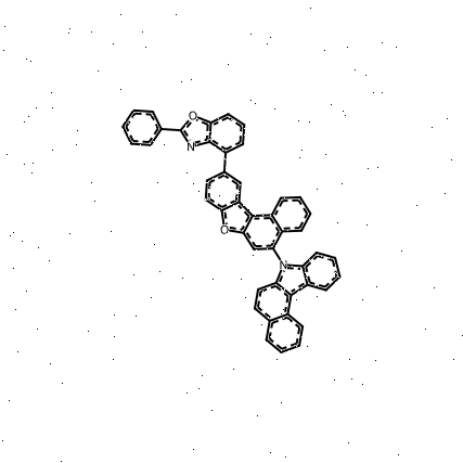 c1ccc(-c2nc3c(-c4ccc5oc6cc(-n7c8ccccc8c8c9ccccc9ccc87)c7ccccc7c6c5c4)cccc3o2)cc1